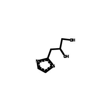 OCC(O)Cc1nccs1